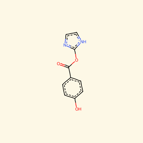 O=C(Oc1ncc[nH]1)c1ccc(O)cc1